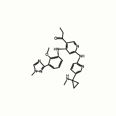 CCC(=O)c1cnc(Nc2ccc(C3(NC)CC3)cn2)cc1Nc1cccc(-c2ncn(C)n2)c1OC